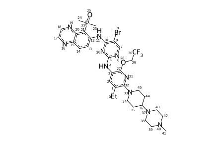 CCc1cc(Nc2ncc(Br)c(Nc3ccc4nccnc4c3P(C)(C)=O)n2)c(OCC(F)(F)F)nc1N1CCC(N2CCN(C)CC2)CC1